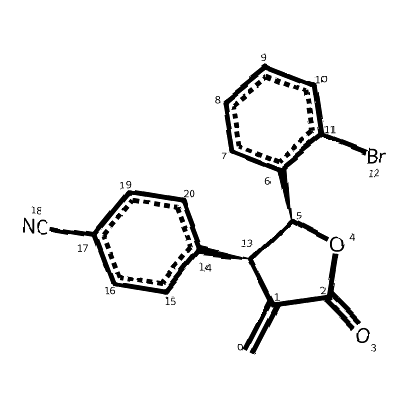 C=C1C(=O)O[C@H](c2ccccc2Br)[C@@H]1c1ccc(C#N)cc1